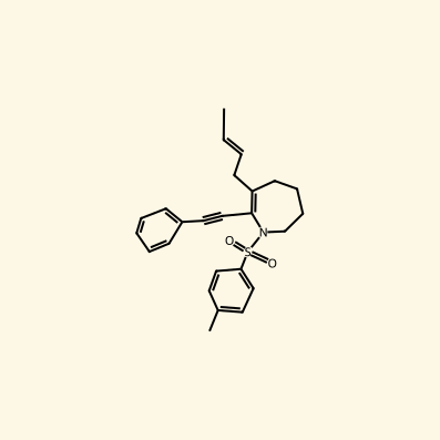 CC=CCC1=C(C#Cc2ccccc2)N(S(=O)(=O)c2ccc(C)cc2)CCCC1